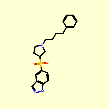 O=S(=O)(c1ccc2[nH]ncc2c1)C1CCN(CCCCc2ccccc2)C1